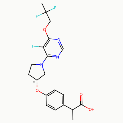 CC(C(=O)O)c1ccc(O[C@@H]2CCN(c3ncnc(OCC(C)(F)F)c3F)C2)cc1